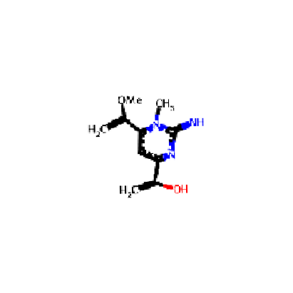 C=C(O)c1cc(C(=C)OC)n(C)c(=N)n1